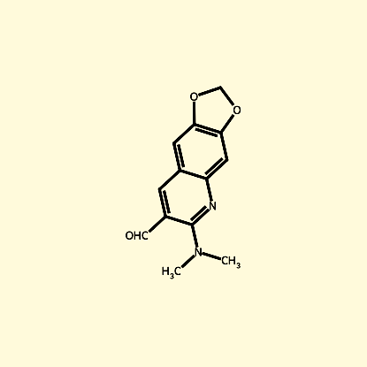 CN(C)c1nc2cc3c(cc2cc1C=O)OCO3